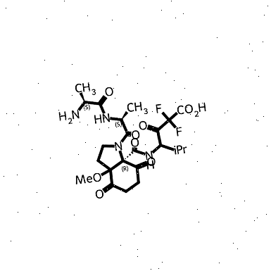 COC12CCN(C(=O)[C@H](C)NC(=O)[C@H](C)N)[C@@]1(C(=O)NC(C(=O)C(F)(F)C(=O)O)C(C)C)C(=O)CCC2=O